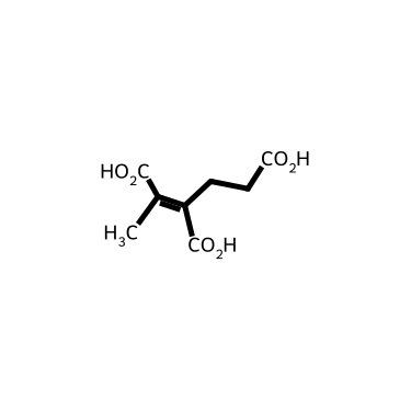 CC(C(=O)O)=C(CCC(=O)O)C(=O)O